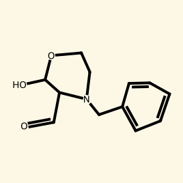 O=CC1C(O)OCCN1Cc1ccccc1